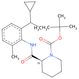 Cc1cccc(C(C)C2CC2)c1NC(=O)[C@@H]1CCCCN1C(=O)OC(C)(C)C